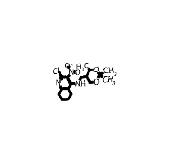 CC1OC(C)(C)OCC1CNc1c2c(nc(Cl)c1[N+](=O)[O-])CCCC2